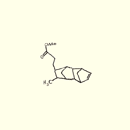 COC(=O)CCC1C(C)C2CC1C1C3C=CC(C3)C21